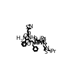 CC(C)c1nc(CN(C)C(=O)N[C@H](C(=O)N[C@@H](Cc2ccccc2)C[C@H](O)[C@@H](NC(=O)OCc2cncs2)C(N)c2ccccc2)C(C)C)cs1